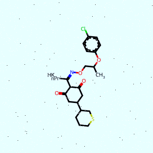 CCCC(=NOCC(C)Oc1ccc(Cl)cc1)C1C(=O)CC(C2CCCSC2)CC1=O.[KH]